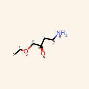 CCOCC(=O)CCN